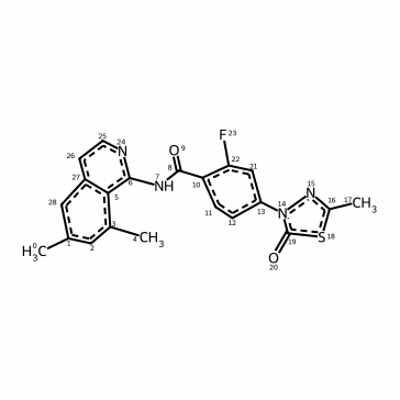 Cc1cc(C)c2c(NC(=O)c3ccc(-n4nc(C)sc4=O)cc3F)nccc2c1